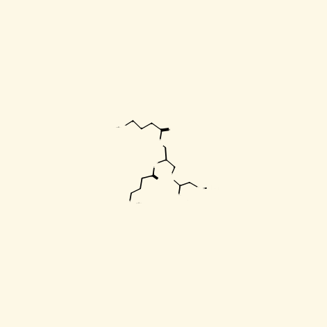 CCCCCCCCCCCCCC(=O)OCC(COC(C)COC(C)(C)C)OC(=O)CCCCCCCCCCCCC